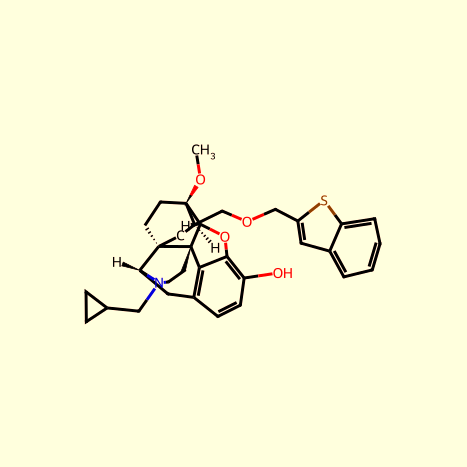 CO[C@]12CC[C@@]3(C[C@@H]1COCc1cc4ccccc4s1)[C@H]1Cc4ccc(O)c5c4[C@@]3(CCN1CC1CC1)[C@H]2O5